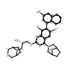 C[C@H](COc1nc(N2CC3CCC(C2)N3)c2cc(Cl)c(-c3cc(O)cc4ccccc34)c(F)c2n1)CN1C2CCC1COC2